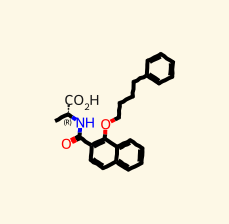 C[C@@H](NC(=O)c1ccc2ccccc2c1OCCCCc1ccccc1)C(=O)O